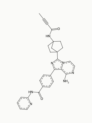 CC#CC(=O)NC12CCC(c3nc(-c4ccc(C(=O)Nc5ccccn5)cc4)c4c(N)nccn34)(CC1)C2